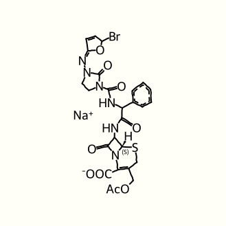 CC(=O)OCC1=C(C(=O)[O-])N2C(=O)C(NC(=O)C(NC(=O)N3CCN(N=C4C=CC(Br)O4)C3=O)c3ccccc3)[C@@H]2SC1.[Na+]